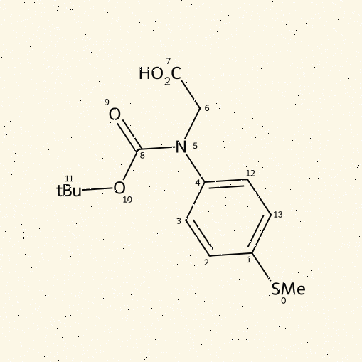 CSc1ccc(N(CC(=O)O)C(=O)OC(C)(C)C)cc1